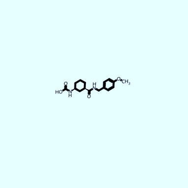 COc1ccc(CNC(=O)[C@@H]2CCC[C@H](NC(=O)O)C2)cc1